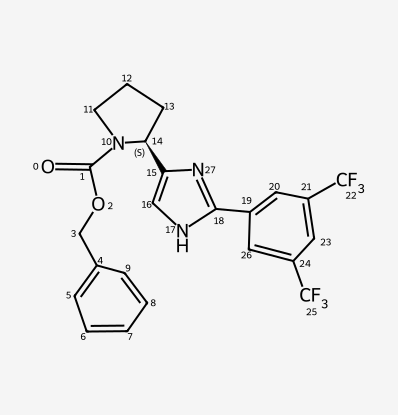 O=C(OCc1ccccc1)N1CCC[C@H]1c1c[nH]c(-c2cc(C(F)(F)F)cc(C(F)(F)F)c2)n1